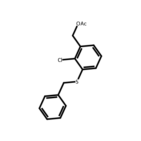 CC(=O)OCc1cccc(SCc2ccccc2)c1Cl